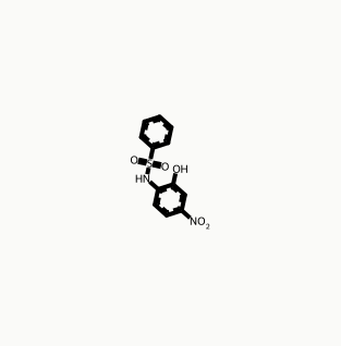 O=[N+]([O-])c1ccc(NS(=O)(=O)c2ccccc2)c(O)c1